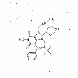 CC#CCN1c2c(n(Cc3ccccc3)c(=O)n(C)c2=O)N(OC(=O)C(F)(F)F)C1N1CCNCC1